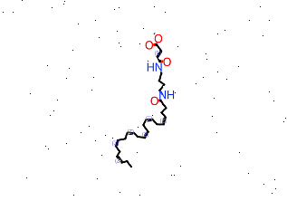 CC/C=C\C/C=C\C/C=C\C/C=C\C/C=C\C/C=C\CCC(=O)NCCCCNC(=O)/C=C/C(=O)OC